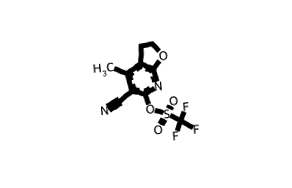 Cc1c(C#N)c(OS(=O)(=O)C(F)(F)F)nc2c1CCO2